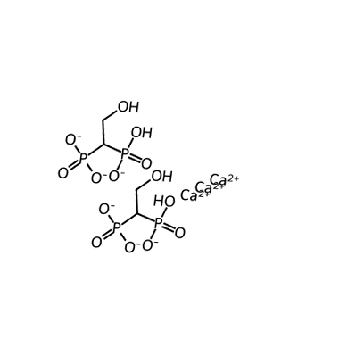 O=P([O-])([O-])C(CO)P(=O)([O-])O.O=P([O-])([O-])C(CO)P(=O)([O-])O.[Ca+2].[Ca+2].[Ca+2]